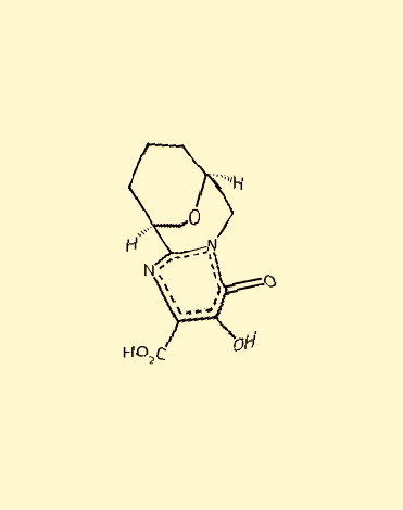 O=C(O)c1nc2n(c(=O)c1O)C[C@@H]1CCC[C@H]2O1